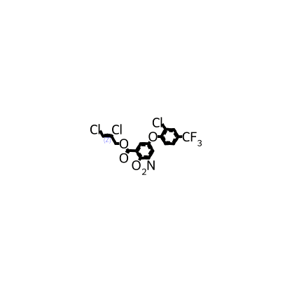 O=C(OC/C(Cl)=C/Cl)c1cc(Oc2ccc(C(F)(F)F)cc2Cl)ccc1[N+](=O)[O-]